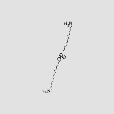 NCCCCCCCCCCCCCCCO[N+](=O)OCCCCCCCCCCCCCCCN